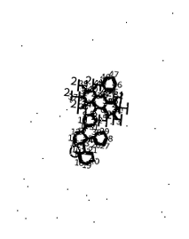 [2H]c1c([2H])c([2H])c2c(-c3ccc(-c4ccc5oc6ccccc6c5c4-c4ccccc4)cc3)c3c([2H])c([2H])c([2H])c([2H])c3c(-c3ccccc3)c2c1[2H]